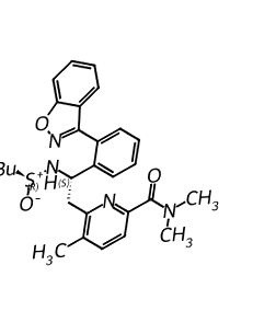 Cc1ccc(C(=O)N(C)C)nc1C[C@H](N[S@@+]([O-])C(C)(C)C)c1ccccc1-c1noc2ccccc12